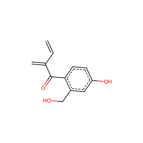 C=CC(=C)C(=O)c1ccc(O)cc1CO